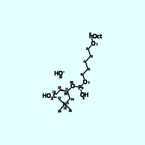 CCCCCCCCOCCCCCOP(O)O[C@H](CC(=O)O)C[N+](C)(C)C.[OH-]